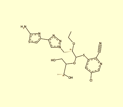 CCO[C@@H](Cn1cc(-c2csc(N)n2)nn1)C(OC(CO)[C@@H](C)O)Sc1cc(Cl)cnc1C#N